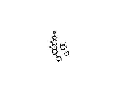 CCc1cc(NC(=O)Nc2ccc(-c3cncs3)cc2Nc2cc(N3CCCC3)nc(C)n2)no1